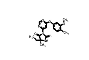 CC[C@@]1(C)NC(=O)N(c2cc(Oc3ccc(C)c(OC)c3)ncn2)C1=O